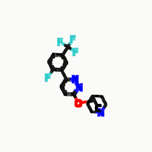 Fc1ccc(C(F)(F)F)cc1-c1ccc(OC2CN3CCC2CC3)nn1